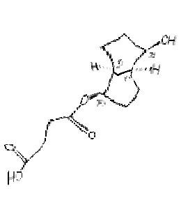 O=C(O)CCC(=O)O[C@@H]1CC[C@H]2[C@@H]1CC[C@H]2O